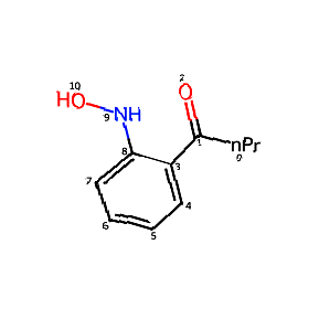 CCCC(=O)c1ccccc1NO